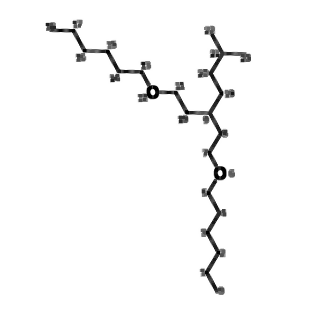 CCCCCCOCCC(CCOCCCCCC)CCC(C)C